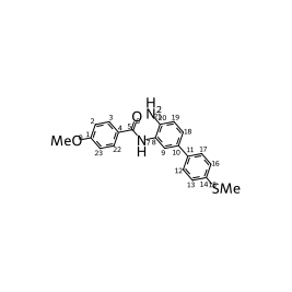 COc1ccc(C(=O)Nc2cc(-c3ccc(SC)cc3)ccc2N)cc1